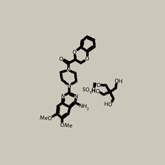 COc1cc2nc(N3CCN(C(=O)C4COc5ccccc5O4)CC3)nc(N)c2cc1OC.CS(=O)(=O)O.OCC(CO)(CO)CO